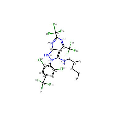 CCCC(C)CNC1=C2C(C(F)(F)F)=NC(C(F)(F)F)=NC2NN1c1c(Cl)cc(C(F)(F)F)cc1Cl